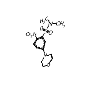 CN(C)S(=O)(=O)c1cc(N2CCOCC2)ccc1[N+](=O)[O-]